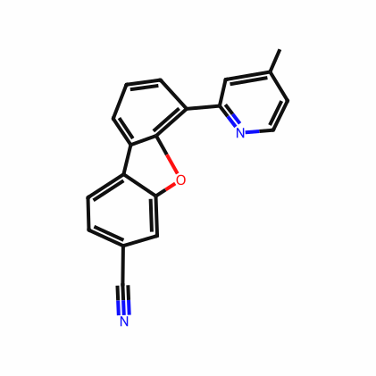 Cc1ccnc(-c2cccc3c2oc2cc(C#N)ccc23)c1